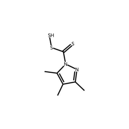 Cc1nn(C(=S)SS)c(C)c1C